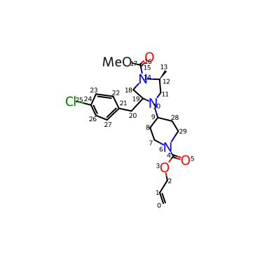 C=CCOC(=O)N1CCC(N2C[C@H](C)N(C(=O)OC)CC2Cc2ccc(Cl)cc2)CC1